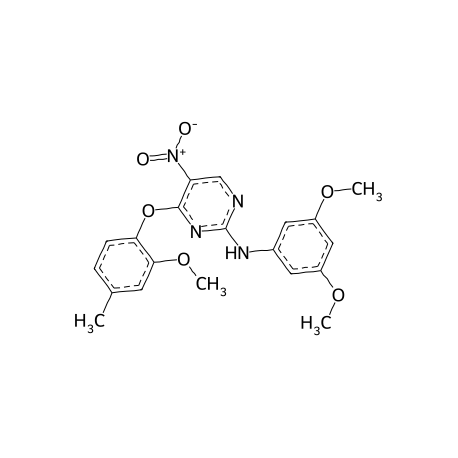 COc1cc(Nc2ncc([N+](=O)[O-])c(Oc3ccc(C)cc3OC)n2)cc(OC)c1